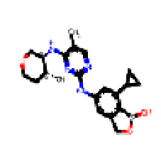 Cc1cnc(Nc2cc3c(c(C4CC4)c2)B(O)OC3)nc1N[C@@H]1COCC[C@H]1C#N